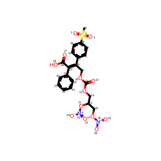 CS(=O)(=O)c1ccc(C(COC(=O)OCC(CO[N+](=O)[O-])O[N+](=O)[O-])=C(C(=O)O)c2ccccc2)cc1